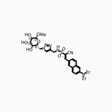 CCN(CC)c1ccc2cc(/C=C(\C#N)S(=O)(=O)NCc3cn(C[C@H]4O[C@H](OC)[C@H](O)[C@@H](O)[C@@H]4O)nn3)ccc2c1